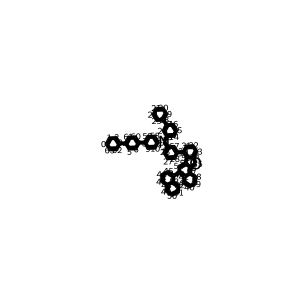 c1ccc(-c2ccc(-c3ccc(N(c4cccc(-c5ccccc5)c4)c4cccc(-c5cccc6oc7c8ccccc8c(-c8cccc9ccccc89)cc7c56)c4)cc3)cc2)cc1